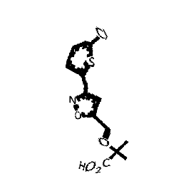 CC(C)(OCc1cc(-c2ccc(Cl)s2)no1)C(=O)O